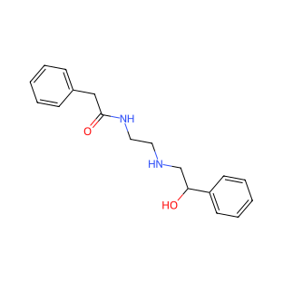 O=C(Cc1ccccc1)NCCNCC(O)c1ccccc1